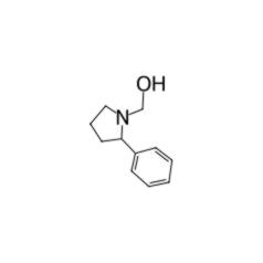 OCN1CCCC1c1ccccc1